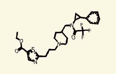 CCOC(=O)c1cnc(CCCN2CCC(CN(C(=O)C(F)(F)F)C3CC3c3ccccc3)CC2)s1